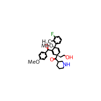 COc1ccc(C(=O)C2=C[C@@](CCO)(C(=O)C3CCCNC3)C=C[C@@]2(OC)c2cccc(F)c2C)cc1